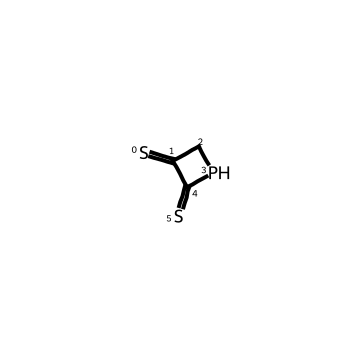 S=C1CPC1=S